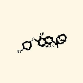 CC[C@H]1CC[C@@H](Oc2ccc3cc(C(C)N4C5CCC4CC(C(=O)O)C5)ccc3c2C#N)CC1